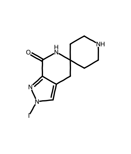 O=C1NC2(CCNCC2)Cc2cn(I)nc21